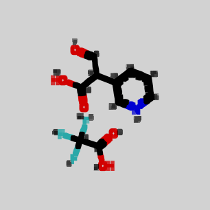 O=C(O)C(F)(F)F.O=CC(C(=O)O)c1cccnc1